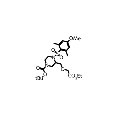 CCOC(=O)COCC1CN(C(=O)OC(C)(C)C)CCN1S(=O)(=O)c1c(C)cc(OC)cc1C